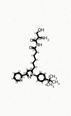 CC(C)(C)c1ccc(-n2nc(-c3ccccn3)cc2CCCCCC(=O)NC(=O)C(N)CO)cc1